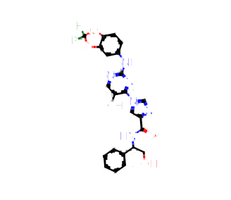 Cc1cnc(Nc2ccc3c(c2)OC(F)(F)O3)nc1-n1cnc(C(=O)NC(CO)c2ccccc2)c1